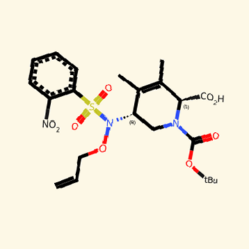 C=CCON([C@H]1CN(C(=O)OC(C)(C)C)[C@H](C(=O)O)C(C)=C1C)S(=O)(=O)c1ccccc1[N+](=O)[O-]